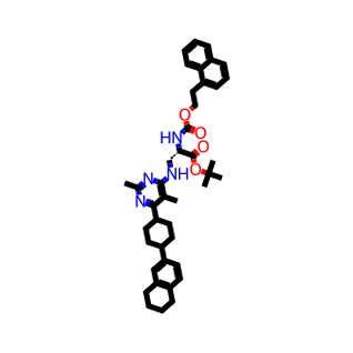 Cc1nc(NC[C@H](NC(=O)OCCc2cccc3ccccc23)C(=O)OC(C)(C)C)c(C)c(C2CCC(c3ccc4c(c3)CCCC4)CC2)n1